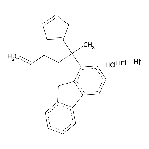 C=CCCC(C)(C1=CC=CC1)c1cccc2c1Cc1ccccc1-2.Cl.Cl.[Hf]